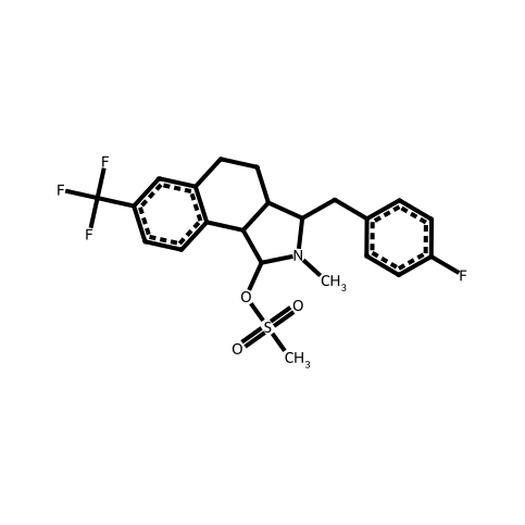 CN1C(Cc2ccc(F)cc2)C2CCc3cc(C(F)(F)F)ccc3C2C1OS(C)(=O)=O